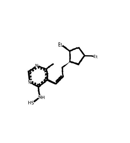 CCC1CC(CC)[C@H](C/C=C\c2c(C)ncnc2NS)C1